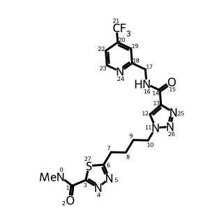 CNC(=O)c1nnc(CCCCn2cc(C(=O)NCc3cc(C(F)(F)F)ccn3)nn2)s1